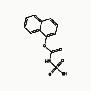 O=C(NS(=O)(=O)O)Oc1cccc2ccccc12